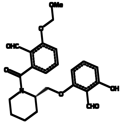 COCOc1cccc(C(=O)N2CCCC[C@H]2COc2cccc(O)c2C=O)c1C=O